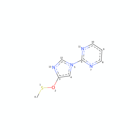 CSOc1cn(-c2ncccn2)cn1